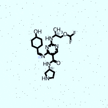 C[C@@H](COC(F)F)Nc1ncc(C(=O)N[C@H]2CCNC2)c(/N=C\C2CCC(O)CC2)n1